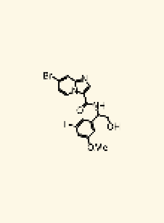 COc1cc(F)cc(C(CO)NC(=O)c2cnc3cc(Br)ccn23)c1